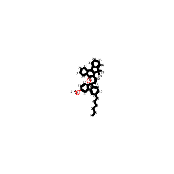 CCCCCCc1ccc(C2(c3ccc(OC)cc3)C=Cc3c4c(c5ccccc5c3O2)-c2ccccc2C4(C)C)cc1